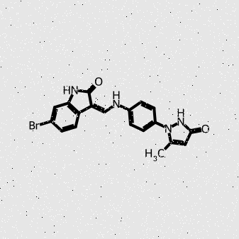 Cc1cc(=O)[nH]n1-c1ccc(NC=C2C(=O)Nc3cc(Br)ccc32)cc1